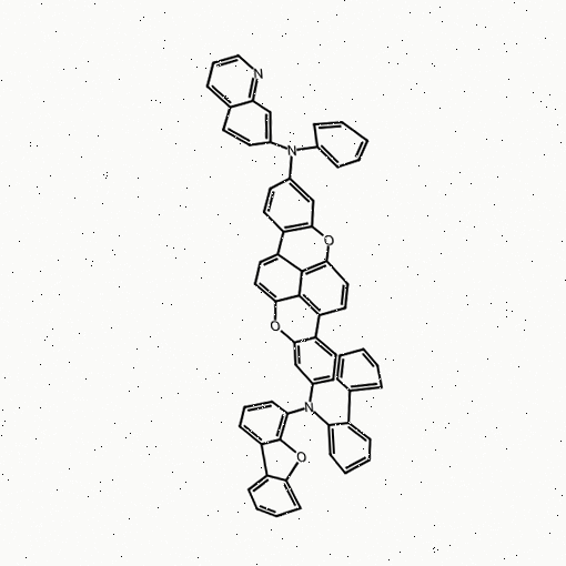 c1ccc(-c2ccccc2N(c2ccc3c(c2)Oc2ccc4c5c(ccc-3c25)Oc2cc(N(c3ccccc3)c3ccc5cccnc5c3)ccc2-4)c2cccc3c2oc2ccccc23)cc1